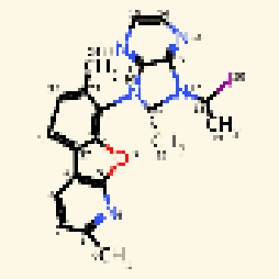 Cc1ccc2c(n1)oc1c(N3c4nccnc4N(C(C)I)[C@@H]3C)c(C)ccc12